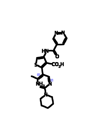 C=C(/N=C\C(=C(\C)N)c1scc(NC(=O)c2ccnnc2)c1C(=O)O)N1CCCCC1